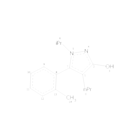 CCCc1c(O)nn(C(C)C)c1-c1ccccc1C